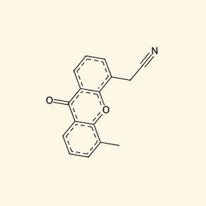 Cc1cccc2c(=O)c3cccc(CC#N)c3oc12